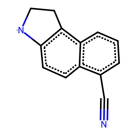 N#Cc1cccc2c3c(ccc12)[N]CC3